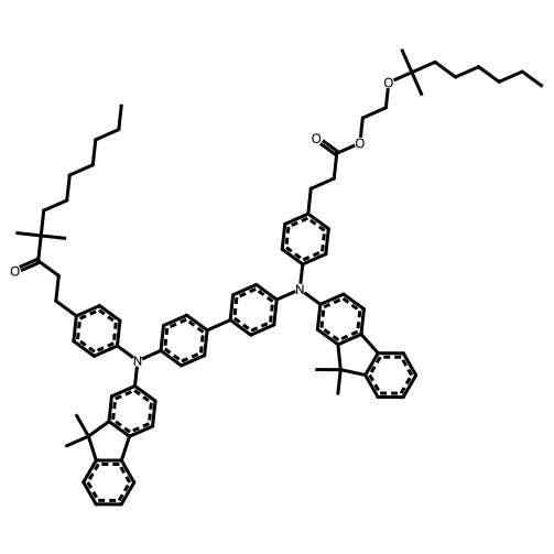 CCCCCCCC(C)(C)C(=O)CCc1ccc(N(c2ccc(-c3ccc(N(c4ccc(CCC(=O)OCCOC(C)(C)CCCCCC)cc4)c4ccc5c(c4)C(C)(C)c4ccccc4-5)cc3)cc2)c2ccc3c(c2)C(C)(C)c2ccccc2-3)cc1